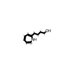 OCCCCC1=CC=CC=CN1